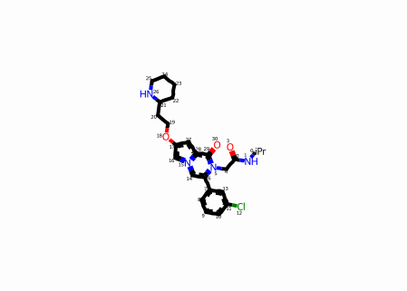 CC(C)NC(=O)Cn1c(-c2cccc(Cl)c2)cn2cc(OCCC3CCCCN3)cc2c1=O